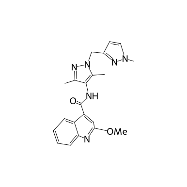 COc1cc(C(=O)Nc2c(C)nn(Cc3ccn(C)n3)c2C)c2ccccc2n1